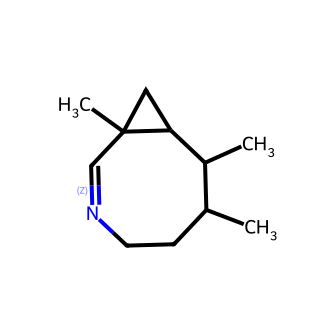 CC1CC/N=C\C2(C)CC2C1C